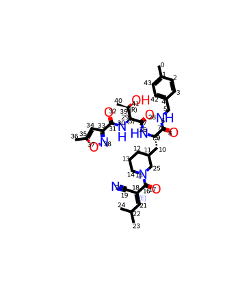 Cc1ccc(CNC(=O)[C@H](CC2CCCN(C(=O)/C(C#N)=C/C(C)C)C2)NC(=O)[C@@H](NC(=O)c2cc(C)on2)[C@@H](C)O)cc1